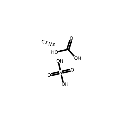 O=C(O)O.O=S(=O)(O)O.[Cu].[Mn]